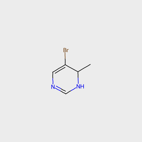 CC1NC=NC=C1Br